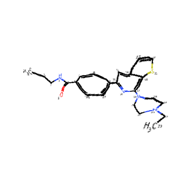 CCCNC(=O)c1ccc(-c2cc3ccsc3c(N3CCN(CC)CC3)n2)cc1